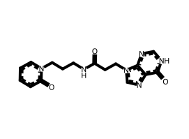 O=C(CCn1cnc2c(=O)[nH]cnc21)NCCCn1ccccc1=O